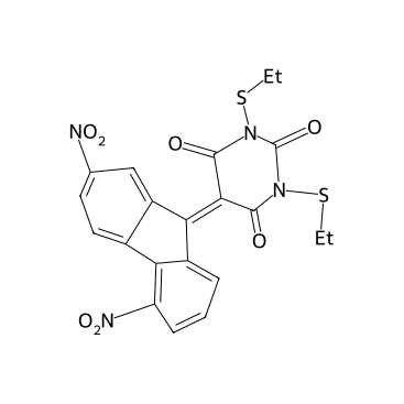 CCSN1C(=O)C(=C2c3cc([N+](=O)[O-])ccc3-c3c2cccc3[N+](=O)[O-])C(=O)N(SCC)C1=O